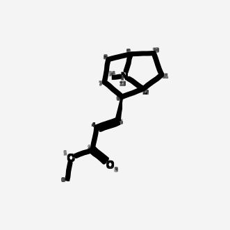 COC(=O)/C=C/[C@H]1CCC2CCC1N2C